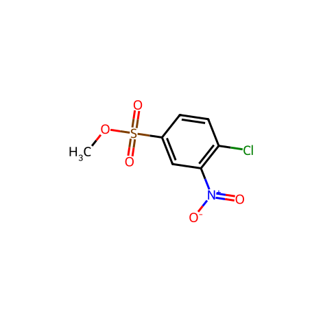 COS(=O)(=O)c1ccc(Cl)c([N+](=O)[O-])c1